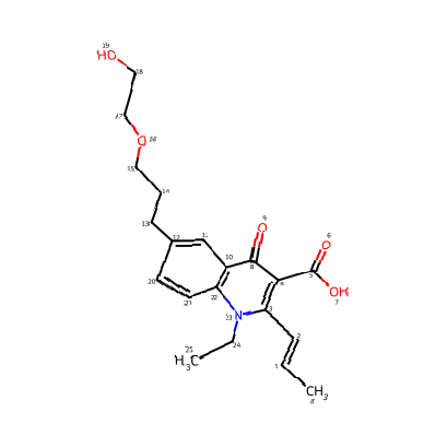 CC=Cc1c(C(=O)O)c(=O)c2cc(CCCOCCO)ccc2n1CC